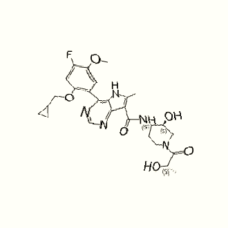 COc1cc(-c2ncnc3c(C(=O)N[C@H]4CCN(C(=O)[C@H](C)O)C[C@@H]4O)c(C)[nH]c23)c(OCC2CC2)cc1F